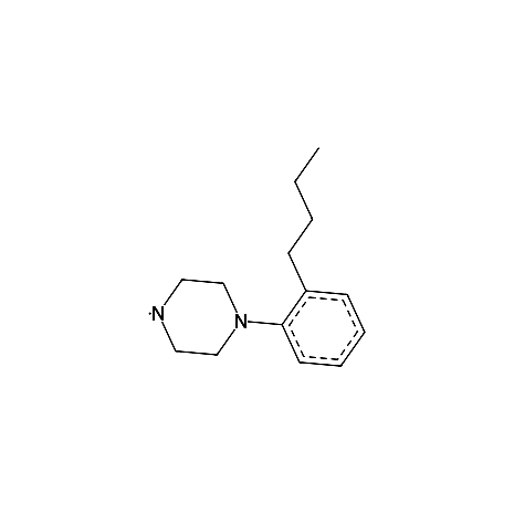 CCCCc1ccccc1N1CC[N]CC1